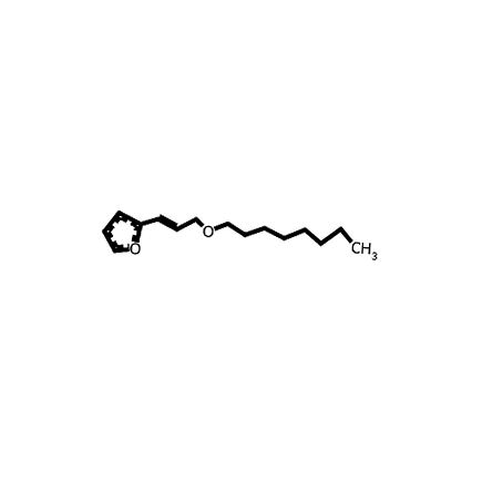 CCCCCCCCOCC=Cc1ccco1